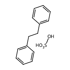 O=S(=O)(O)O.c1ccc(CCc2ccccc2)cc1